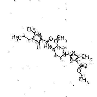 CCCc1[nH]c(C(=O)NC2CCN(c3nc(C)c(C(=O)OCC)s3)CC2OC)nc1Cl